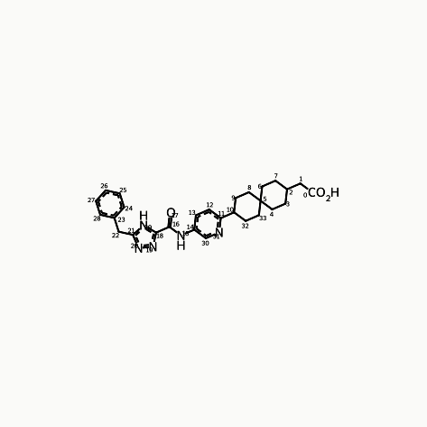 O=C(O)CC1CCC2(CC1)CCC(c1ccc(NC(=O)c3nnc(Cc4ccccc4)[nH]3)cn1)CC2